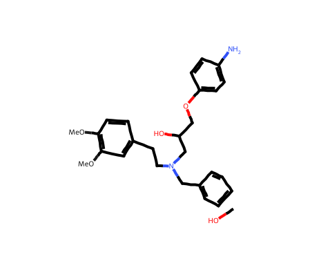 CO.COc1ccc(CCN(Cc2ccccc2)CC(O)COc2ccc(N)cc2)cc1OC